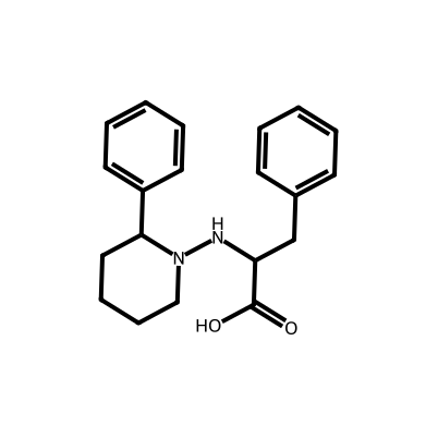 O=C(O)C(Cc1ccccc1)NN1CCCCC1c1ccccc1